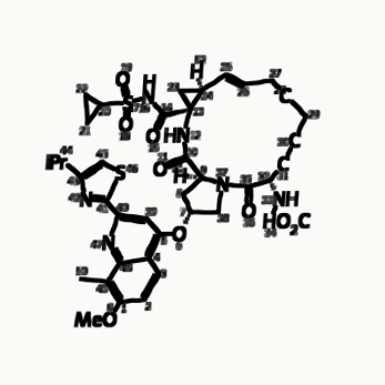 COc1ccc2c(O[C@@H]3C[C@H]4C(=O)N[C@]5(C(=O)NS(=O)(=O)C6CC6)C[C@H]5/C=C/CCCCC[C@H](NC(=O)O)C(=O)N4C3)cc(-c3nc(C(C)C)cs3)nc2c1C